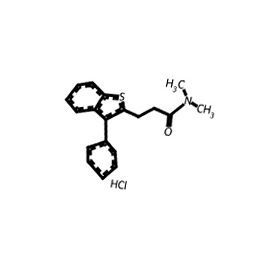 CN(C)C(=O)CCc1sc2ccccc2c1-c1ccccc1.Cl